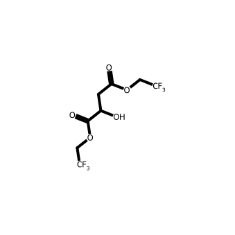 O=C(CC(O)C(=O)OCC(F)(F)F)OCC(F)(F)F